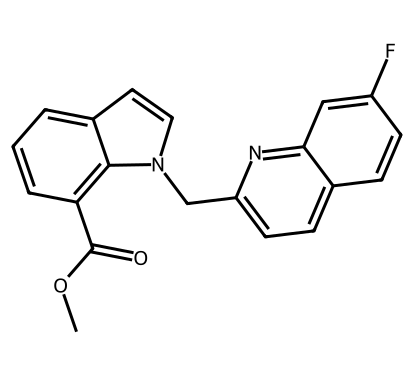 COC(=O)c1cccc2ccn(Cc3ccc4ccc(F)cc4n3)c12